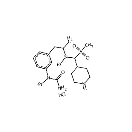 CCN(C(C)Cc1cccc(N(C(N)=O)C(C)C)c1)C(C1CCNCC1)S(C)(=O)=O.Cl